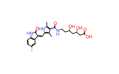 Cc1[nH]c(C=C2C(=O)Nc3ccc(F)cc32)c(C)c1C(=O)NCC[C@@H](O)C[C@@H](O)CC(=O)O